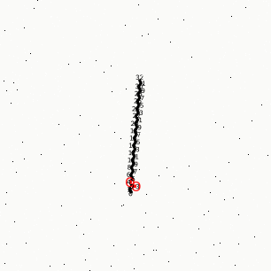 C=CC(=O)OCCCCCCCCCCCCCCCCCCCCCCCCCCCC